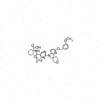 COc1cccc(COc2ccc3c(n2)C2(CCOCC2)CN3c2ncc(C(=O)NC3(C(=O)O)CCCCC3)c(C(F)(F)F)n2)c1